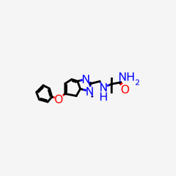 CN1C(CNC(C)(C)C(N)=O)=NC2=CC=C(Oc3ccccc3)CC21